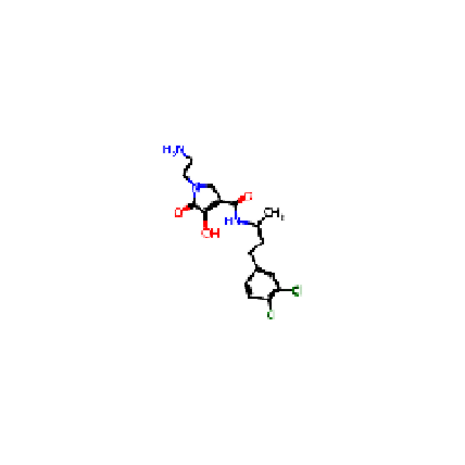 CC(CCc1ccc(Cl)c(Cl)c1)NC(=O)C1=C(O)C(=O)N(CCN)C1